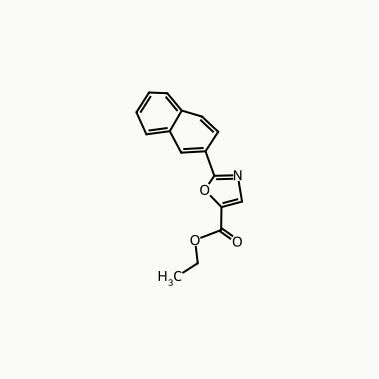 CCOC(=O)c1cnc(-c2ccc3ccccc3c2)o1